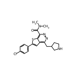 CN(C)C(=O)c1nnc(CC2CCNC2)c2cc(-c3ccc(Cl)cc3)sc12